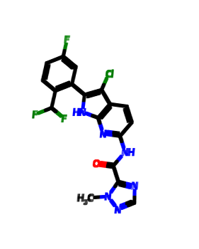 Cn1ncnc1C(=O)Nc1ccc2c(Cl)c(-c3cc(F)ccc3C(F)F)[nH]c2n1